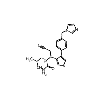 CC(C)C[C@@H](C(N)=O)N(CC#N)c1cscc1-c1ccc(Cn2ccnc2)cc1